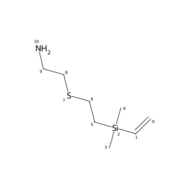 C=C[Si](C)(C)CCSCCN